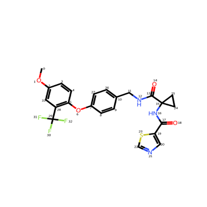 COc1ccc(Oc2ccc(CNC(=O)C3(NC(=O)c4cncs4)CC3)cc2)c(C(F)(F)F)c1